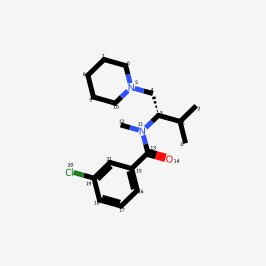 CC(C)[C@@H](CN1CCCCC1)N(C)C(=O)c1cccc(Cl)c1